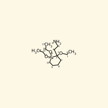 CCOC1(CCN)CCCC[Si]1(OCC)OCC